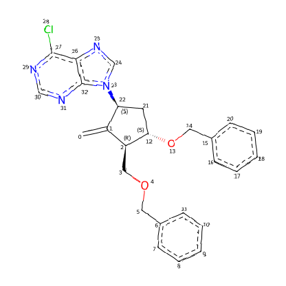 C=C1[C@H](COCc2ccccc2)[C@@H](OCc2ccccc2)C[C@@H]1n1cnc2c(Cl)ncnc21